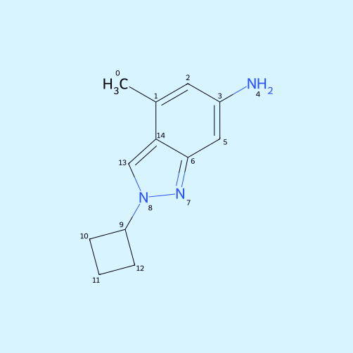 Cc1cc(N)cc2nn(C3CCC3)cc12